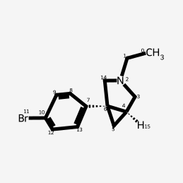 CCN1C[C@H]2C[C@@]2(c2ccc(Br)cc2)C1